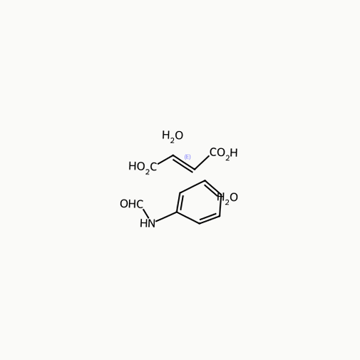 O.O.O=C(O)/C=C/C(=O)O.O=CNc1ccccc1